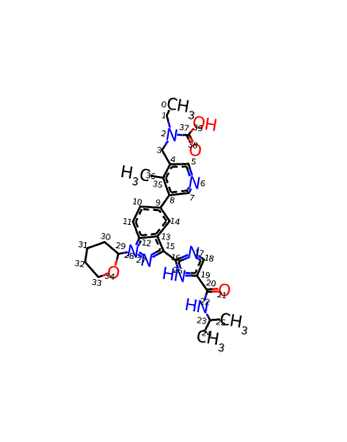 CCN(Cc1cncc(-c2ccc3c(c2)c(-c2ncc(C(=O)NC(C)C)[nH]2)nn3C2CCCCO2)c1C)C(=O)O